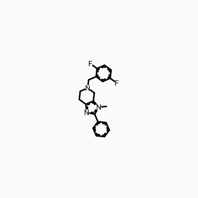 Cn1c(-c2ccccc2)nc2c1CN(Cc1cc(F)ccc1F)CC2